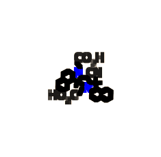 CC1(C)C(/C(C#N)=C2/N(CCC(=O)O)c3ccc4ccccc4c3C2(C)C)=[N+](CCC(=O)O)c2ccc3ccccc3c21